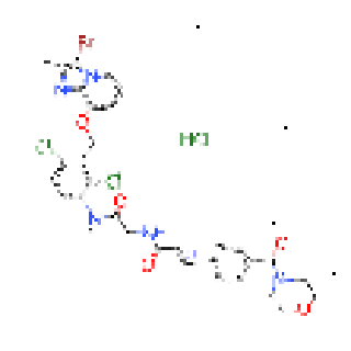 Cc1nc2c(OCc3c(Cl)ccc(N(C)C(=O)CNC(=O)/C=C/c4ccc(C(=O)N5CCOCC5)cc4)c3Cl)cccn2c1Br.Cl